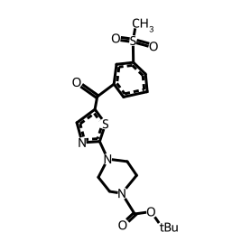 CC(C)(C)OC(=O)N1CCN(c2ncc(C(=O)c3cccc(S(C)(=O)=O)c3)s2)CC1